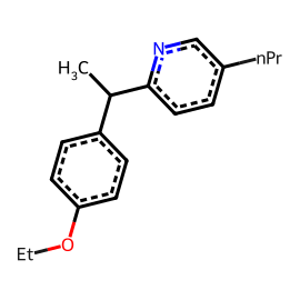 CCCc1ccc(C(C)c2ccc(OCC)cc2)nc1